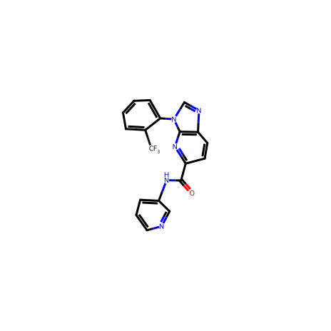 O=C(Nc1cccnc1)c1ccc2ncn(-c3ccccc3C(F)(F)F)c2n1